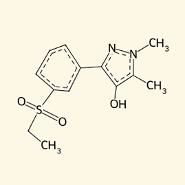 CCS(=O)(=O)c1cccc(-c2nn(C)c(C)c2O)c1